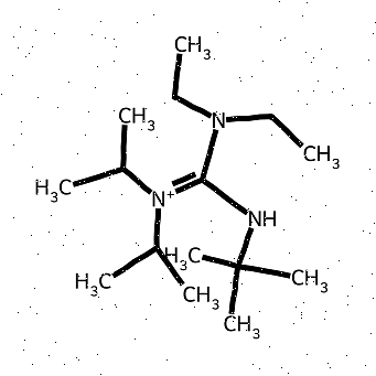 CCN(CC)C(NC(C)(C)C)=[N+](C(C)C)C(C)C